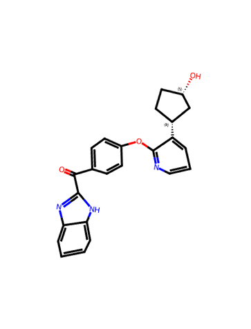 O=C(c1ccc(Oc2ncccc2[C@@H]2CC[C@H](O)C2)cc1)c1nc2ccccc2[nH]1